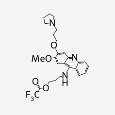 COc1cc2c(NCCCOC(=O)C(F)(F)F)c3ccccc3nc2cc1OCCCN1CCCC1